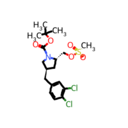 CC(C)(C)OC(=O)N1C[C@H](Cc2ccc(Cl)c(Cl)c2)C[C@H]1COS(C)(=O)=O